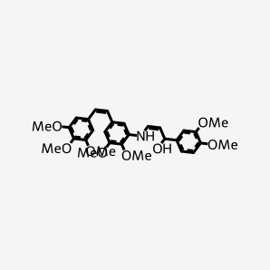 COc1ccc(C(O)/C=C\Nc2cc(/C=C\c3cc(OC)c(OC)c(OC)c3)cc(OC)c2OC)cc1OC